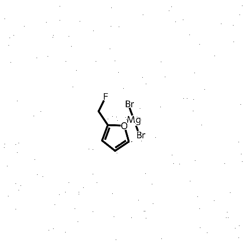 FCc1cc[c]o1.[Br][Mg][Br]